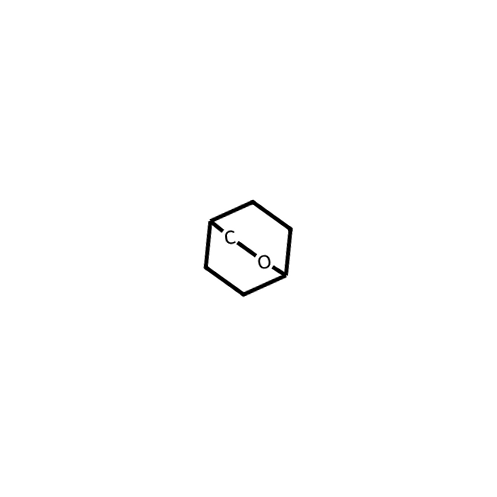 C1CC2CCC1CO2